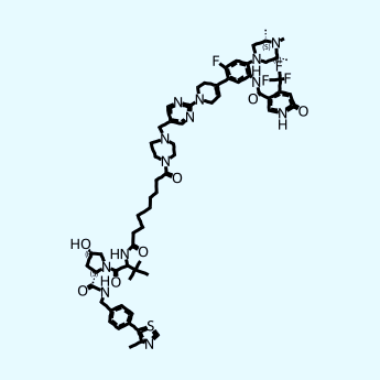 Cc1ncsc1-c1ccc(CNC(=O)[C@@H]2C[C@@H](O)CN2C(=O)C(NC(=O)CCCCCCCC(=O)N2CCN(Cc3cnc(N4CC=C(c5cc(NC(=O)c6c[nH]c(=O)cc6C(F)(F)F)c(N6C[C@@H](C)N(C)[C@@H](C)C6)cc5F)CC4)nc3)CC2)C(C)(C)C)cc1